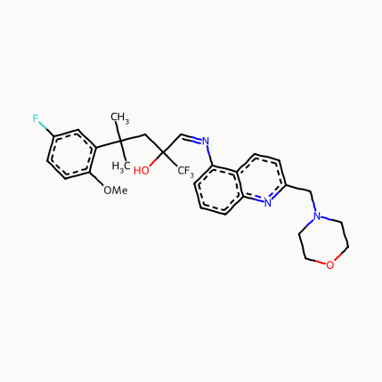 COc1ccc(F)cc1C(C)(C)CC(O)(/C=N\c1cccc2nc(CN3CCOCC3)ccc12)C(F)(F)F